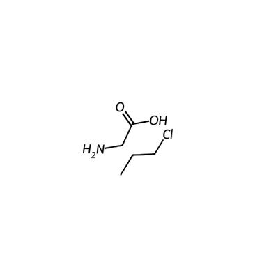 CCCCl.NCC(=O)O